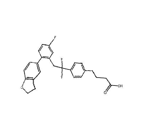 O=C(O)CCCc1ccc(C(F)(F)Cc2cc(F)ccc2-c2ccc3c(c2)CCO3)cc1